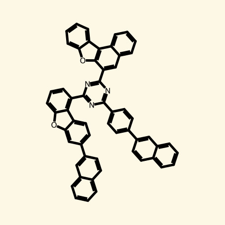 c1ccc2cc(-c3ccc(-c4nc(-c5cc6ccccc6c6c5oc5ccccc56)nc(-c5cccc6oc7cc(-c8ccc9ccccc9c8)ccc7c56)n4)cc3)ccc2c1